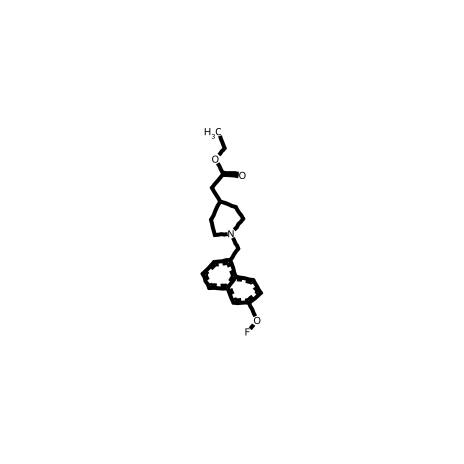 CCOC(=O)CC1CCN(Cc2cccc3cc(OF)ccc23)CC1